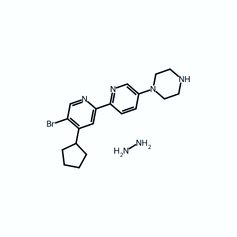 Brc1cnc(-c2ccc(N3CCNCC3)cn2)cc1C1CCCC1.NN